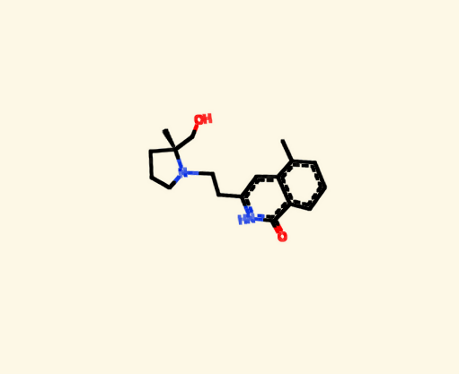 Cc1cccc2c(=O)[nH]c(CCN3CCC[C@]3(C)CO)cc12